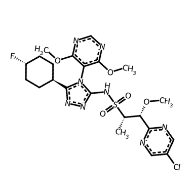 COc1ncnc(OC)c1-n1c(NS(=O)(=O)[C@@H](C)[C@H](OC)c2ncc(Cl)cn2)nnc1[C@H]1CC[C@H](F)CC1